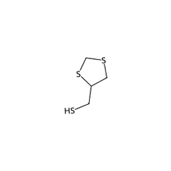 SCC1CSCS1